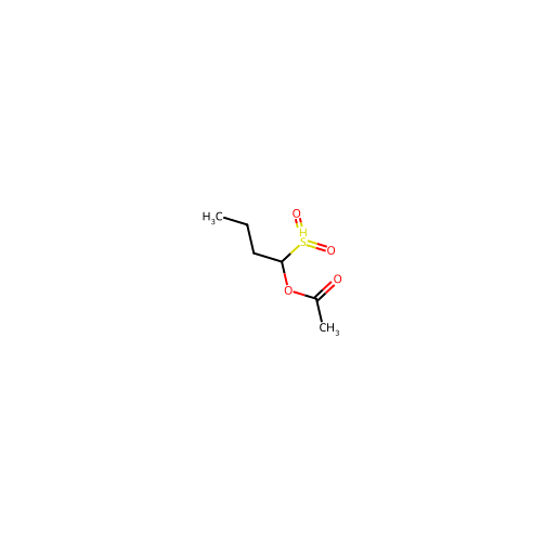 CCCC(OC(C)=O)[SH](=O)=O